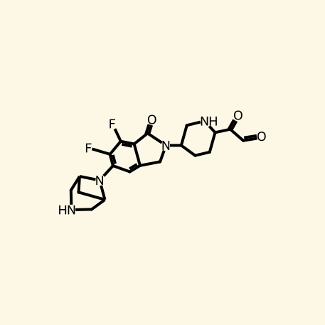 O=CC(=O)C1CCC(N2Cc3cc(N4C5CNCC4C5)c(F)c(F)c3C2=O)CN1